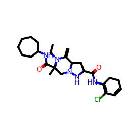 C=C1C2CC(C(=O)NC3=C(Cl)C=CCC3)NN2CC(C)(C(=O)NC2CCCCCC2)N1CC